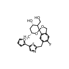 C[C@@H]1C[C@H](O)C(CO)[C@@]2(OCc3cc(F)c(Cc4ncc(-c5ccco5)s4)cc32)O1